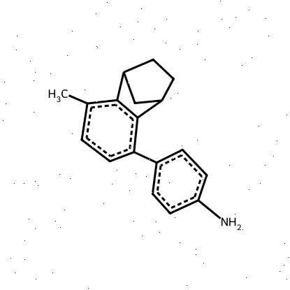 Cc1ccc(-c2ccc(N)cc2)c2c1C1CCC2C1